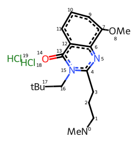 CNCCCc1nc2c(OC)cccc2c(=O)n1CC(C)(C)C.Cl.Cl